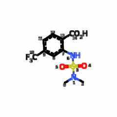 CN(C)S(=O)(=O)Nc1cc(C(F)(F)F)ccc1C(=O)O